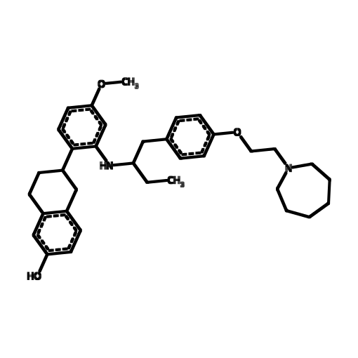 CCC(Cc1ccc(OCCN2CCCCCC2)cc1)Nc1cc(OC)ccc1C1CCc2cc(O)ccc2C1